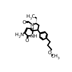 CC[C@H](CC(c1ccc(CCCOC)cc1)c1ccc(N)c(=O)[nH]1)NC=O